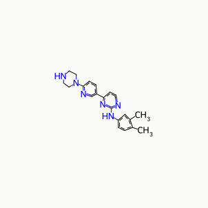 Cc1ccc(Nc2nccc(-c3ccc(N4CCNCC4)nc3)n2)cc1C